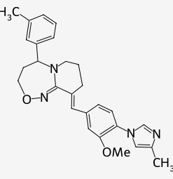 COc1cc(/C=C2\CCCN3C2=NOCCC3c2cccc(C)c2)ccc1-n1cnc(C)c1